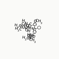 COc1ccc2c(c1)C(C)C(C)(NC(=O)C(=O)N1C[C@@H](C)N(C)[C@@H](C)C1)Cn1c-2c(C2CCCCC2)c2ccc(C(=O)NS(=O)(=O)N(C)C)cc21